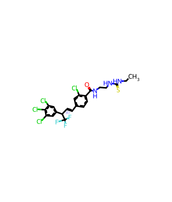 CCNC(=S)NCCNC(=O)c1ccc(/C=C/C(c2cc(Cl)c(Cl)c(Cl)c2)C(F)(F)F)cc1Cl